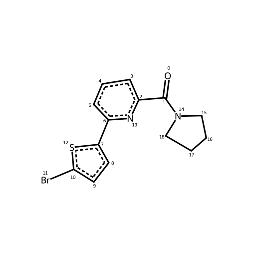 O=C(c1cccc(-c2ccc(Br)s2)n1)N1CCCC1